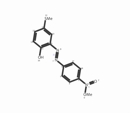 CO[N+](=O)c1ccc(/N=N/c2cc(SC)ccc2O)cc1